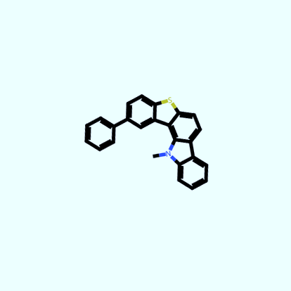 Cn1c2ccccc2c2ccc3sc4ccc(-c5ccccc5)cc4c3c21